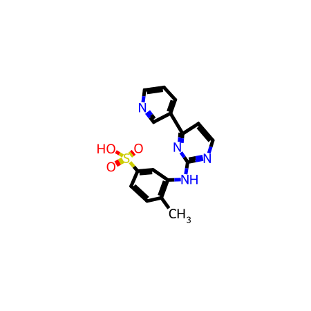 Cc1ccc(S(=O)(=O)O)cc1Nc1nccc(-c2cccnc2)n1